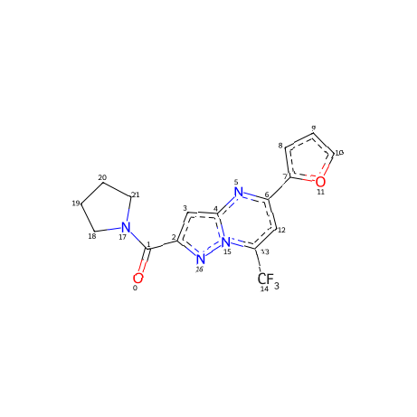 O=C(c1cc2nc(-c3ccco3)cc(C(F)(F)F)n2n1)N1CCCC1